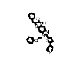 O=c1[nH]c2cc3nc(-c4ccc(-c5ccncc5)s4)n(CCOc4ccccc4)c3cc2nc1Cc1ccccc1